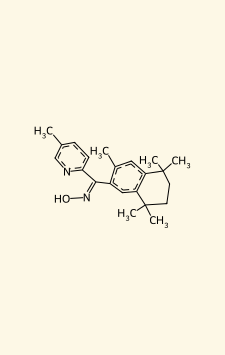 Cc1ccc(/C(=N\O)c2cc3c(cc2C)C(C)(C)CCC3(C)C)nc1